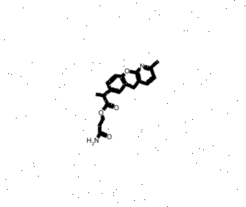 Cc1ccc2c(n1)Oc1ccc(C(C)C(=O)OCCC(N)=O)cc1C2